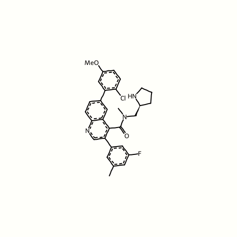 COc1ccc(Cl)c(-c2ccc3ncc(-c4cc(C)cc(F)c4)c(C(=O)N(C)C[C@@H]4CCCN4)c3c2)c1